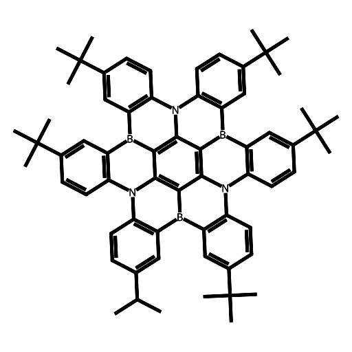 CC(C)c1ccc2c(c1)B1c3cc(C(C)(C)C)ccc3N3c4ccc(C(C)(C)C)cc4B4c5cc(C(C)(C)C)ccc5N5c6ccc(C(C)(C)C)cc6B6c7cc(C(C)(C)C)ccc7N2c2c1c3c4c5c26